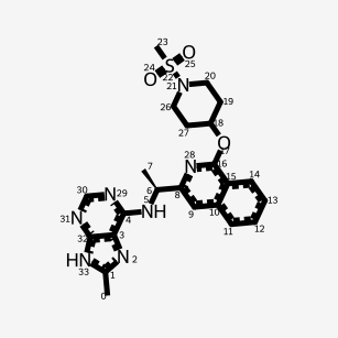 Cc1nc2c(N[C@@H](C)c3cc4ccccc4c(OC4CCN(S(C)(=O)=O)CC4)n3)ncnc2[nH]1